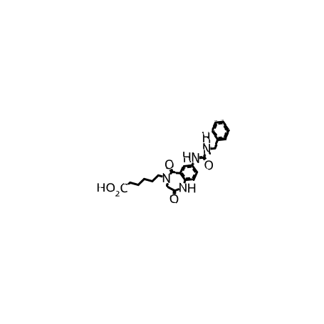 O=C(O)CCCCCN1CC(=O)Nc2ccc(NC(=O)NCc3ccccc3)cc2C1=O